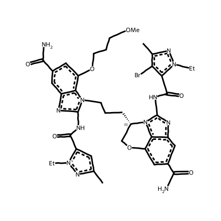 CCn1nc(C)cc1C(=O)Nc1nc2cc(C(N)=O)cc(OCCCOC)c2n1CCC[C@H]1COc2cc(C(N)=O)cc3nc(NC(=O)c4c(Br)c(C)nn4CC)n1c23